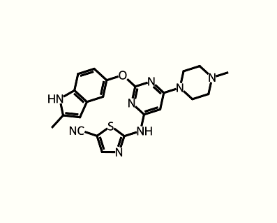 Cc1cc2cc(Oc3nc(Nc4ncc(C#N)s4)cc(N4CCN(C)CC4)n3)ccc2[nH]1